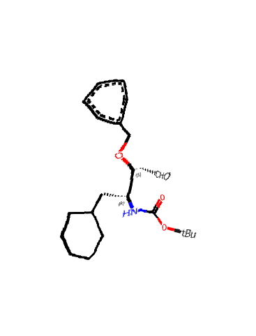 CC(C)(C)OC(=O)N[C@H](CC1CCCCC1)[C@@H](C=O)OCc1ccccc1